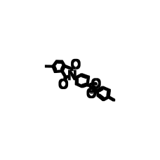 Cc1ccc(S(=O)(=O)c2ccc(N3C(=O)c4ccc(C)cc4C3=O)cc2)cc1